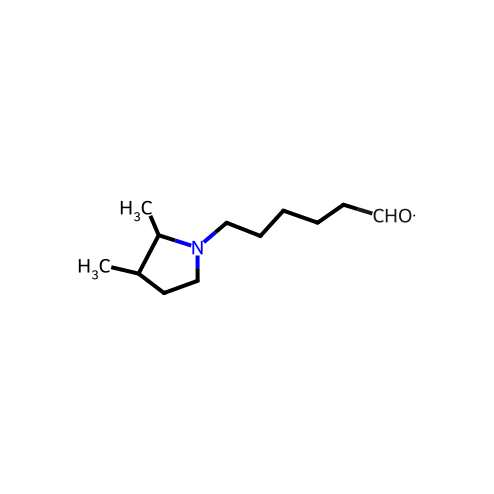 CC1CCN(CCCCC[C]=O)C1C